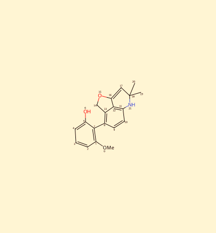 COc1cccc(O)c1-c1ccc2c3c1COC3=CC(C)(C)N2